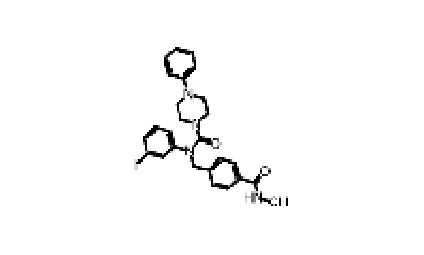 O=C(NO)c1ccc(CN(C(=O)N2CCN(c3ccccc3)CC2)c2cccc(I)c2)cc1